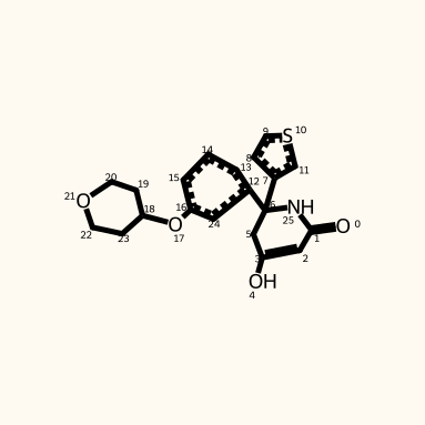 O=C1C=C(O)CC(c2ccsc2)(c2cccc(OC3CCOCC3)c2)N1